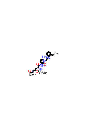 CNC(=O)/C=C/CC[C@H](NC(=O)OC)C(=O)Nc1cccn(Cc2nc3c(CC(C)C)cccc3[nH]2)c1=O